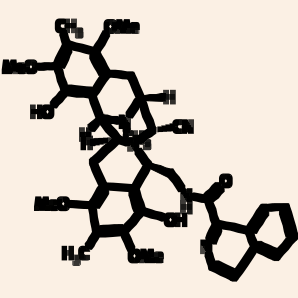 COc1c(C)c(OC)c2c(c1O)[C@H]1[C@@H]3Cc4c(OC)c(C)c(OC)c(O)c4[C@H](CNC(=O)c4nccc5ccccc45)N3[C@@H](C#N)[C@@H](C2)N1C